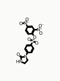 O=C1NCCN1c1ccc(S(=O)(=O)Oc2ccc([N+](=O)[O-])cc2[N+](=O)[O-])cc1